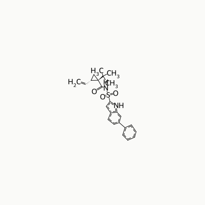 C=C[C@@H]1C[C@@]1(C(=O)NS(=O)(=O)c1cc2ccc(-c3ccccc3)cc2[nH]1)C(C)(C)C